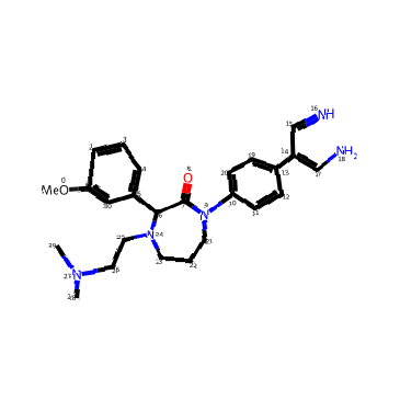 COc1cccc(C2C(=O)N(c3ccc(/C(C=N)=C/N)cc3)CCCN2CCN(C)C)c1